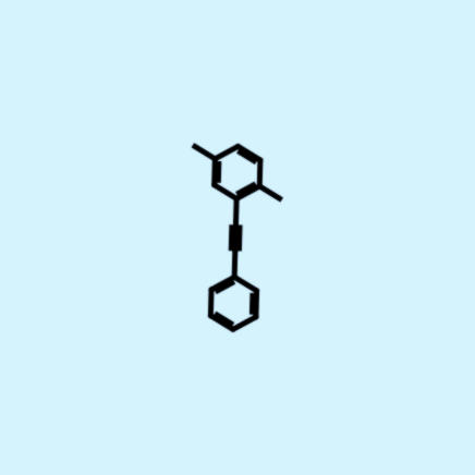 Cc1ccc(C)c(C#Cc2ccccc2)c1